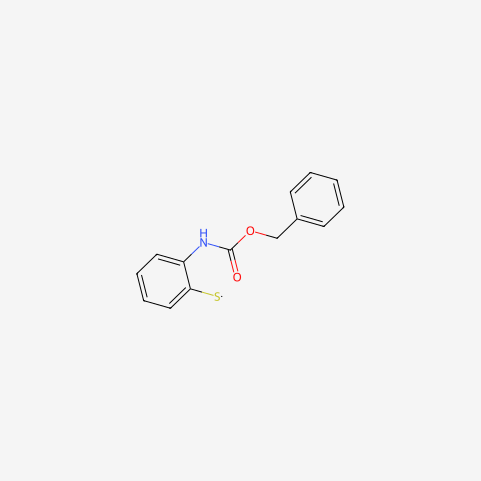 O=C(Nc1ccccc1[S])OCc1ccccc1